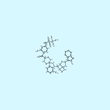 Cc1nc2ccccc2n1C1CC2N(CCC3(c4cccc(F)c4)CCN(C(=O)c4ccc(NS(=O)(=O)C(F)(F)F)cc4F)CC3)C3CCC32C1